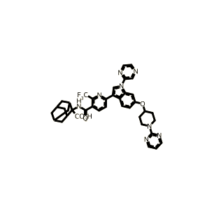 O=C(NC1(C(=O)O)C2CC3CC(C2)CC1C3)c1ccc(-c2cn(-c3cnccn3)c3cc(OC4CCN(c5ncccn5)CC4)ccc23)nc1C(F)(F)F